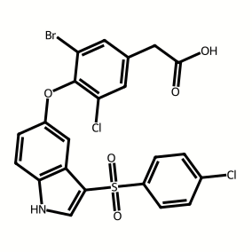 O=C(O)Cc1cc(Cl)c(Oc2ccc3[nH]cc(S(=O)(=O)c4ccc(Cl)cc4)c3c2)c(Br)c1